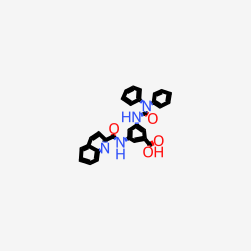 O=C(O)c1cc(NC(=O)c2ccc3ccccc3n2)cc(NC(=O)N(c2ccccc2)c2ccccc2)c1